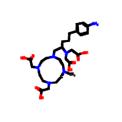 CN1CCN(CC(=O)O)CCN(CC(=O)O)CCN(CC(CCCc2ccc(N)cc2)N(CC(=O)O)CC(=O)O)CC1